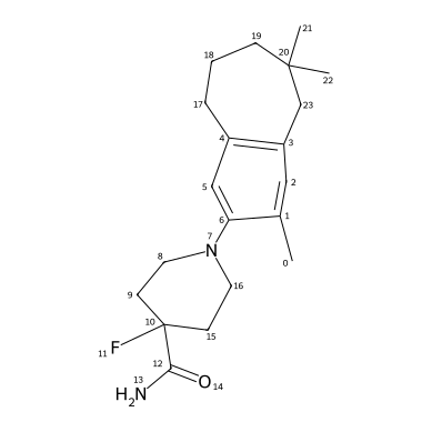 Cc1cc2c(cc1N1CCC(F)(C(N)=O)CC1)CCCC(C)(C)C2